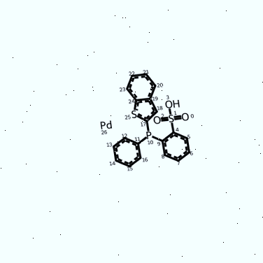 O=S(=O)(O)c1ccccc1P(c1ccccc1)c1cc2ccccc2s1.[Pd]